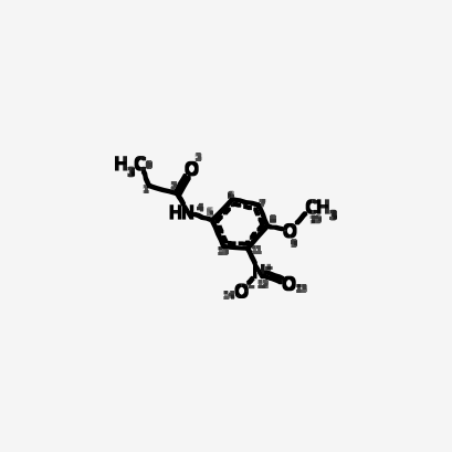 CCC(=O)Nc1ccc(OC)c([N+](=O)[O-])c1